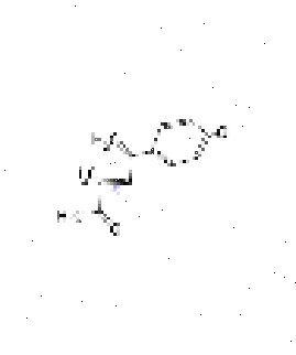 C=C(/C=C(\C)C(C)=O)c1ccc(O)cc1